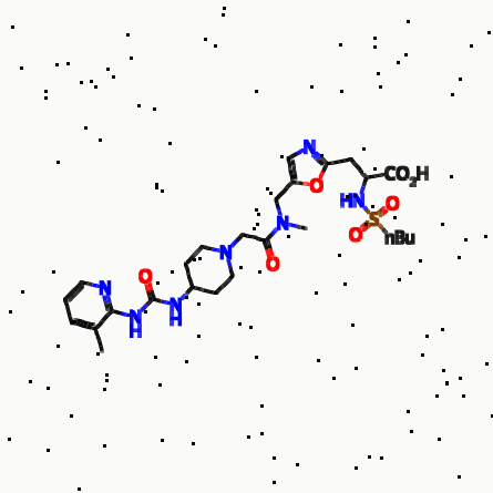 CCCCS(=O)(=O)NC(Cc1ncc(CN(C)C(=O)CN2CCC(NC(=O)Nc3ncccc3C)CC2)o1)C(=O)O